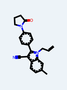 C=CCn1c(-c2ccc(N3CCCC3=O)cc2)c(C#N)c2ccc(C)cc21